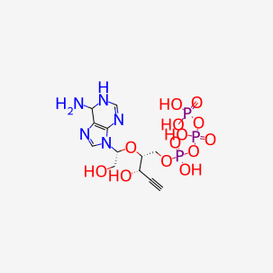 C#C[C@H](O)[C@@H](COP(=O)(O)OP(=O)(O)OP(=O)(O)O)O[C@H](CO)n1cnc2c1N=CNC2N